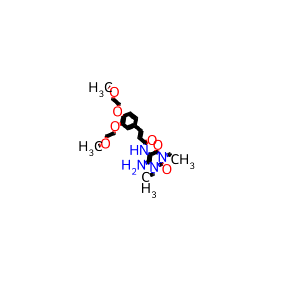 CCn1c(N)c(NC(=O)/C=C/c2ccc(OCCOC)c(OCCOC)c2)c(=O)n(CC)c1=O